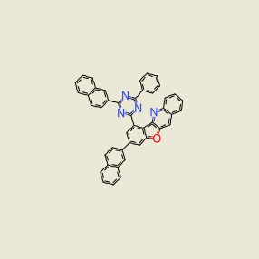 c1ccc(-c2nc(-c3ccc4ccccc4c3)nc(-c3cc(-c4ccc5ccccc5c4)cc4oc5cc6ccccc6nc5c34)n2)cc1